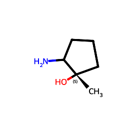 C[C@]1(O)CCCC1N